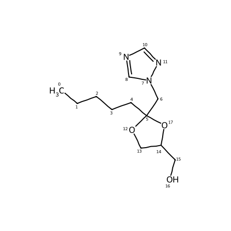 CCCCCC1(Cn2cncn2)OCC(CO)O1